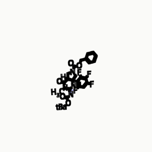 CN1C(=O)[C@@H]2CN(C(=O)OCc3ccccc3)C[C@]2(c2c(F)cc(F)c(F)c2F)N/C1=N/C(=O)OC(C)(C)C